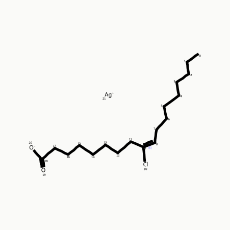 CCCCCCCC/C=C(/Cl)CCCCCCCC(=O)[O-].[Ag+]